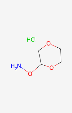 Cl.NOC1COCCO1